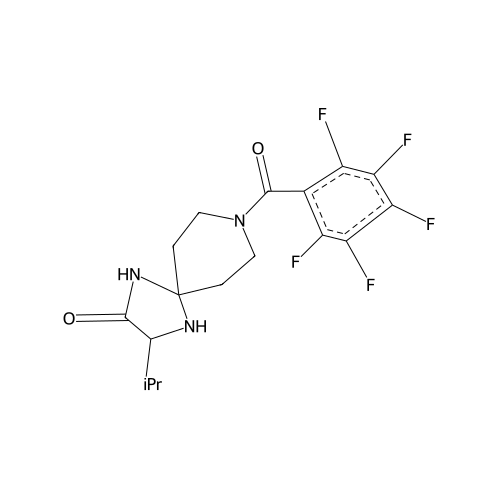 CC(C)C1NC2(CCN(C(=O)c3c(F)c(F)c(F)c(F)c3F)CC2)NC1=O